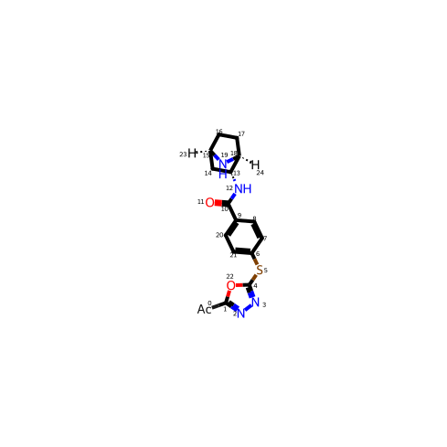 CC(=O)c1nnc(Sc2ccc(C(=O)N[C@@H]3C[C@H]4CC[C@@H]3N4)cc2)o1